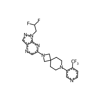 FC(F)Cn1ncc2ncc(N3CC4(CCN(c5cnccc5C(F)(F)F)CC4)C3)nc21